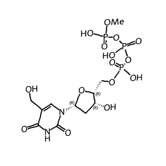 COP(=O)(O)OP(=O)(O)OP(=O)(O)OC[C@H]1O[C@@H](n2cc(CO)c(=O)[nH]c2=O)C[C@H]1O